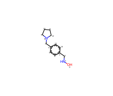 ONCc1ccc(CN2CCCC2)cc1